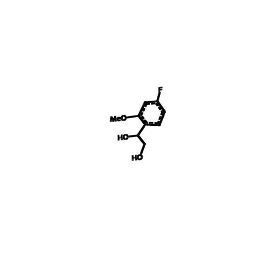 COc1cc(F)ccc1C(O)CO